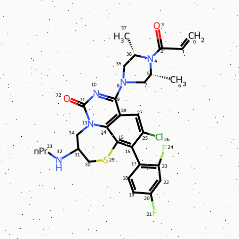 C=CC(=O)N1[C@H](C)CN(c2nc(=O)n3c4c(c(-c5ccc(F)cc5F)c(Cl)cc24)SCC(NCCC)C3)C[C@@H]1C